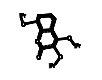 CC(C)Oc1c(OC(C)C)c2cccc(OC(C)C)c2oc1=O